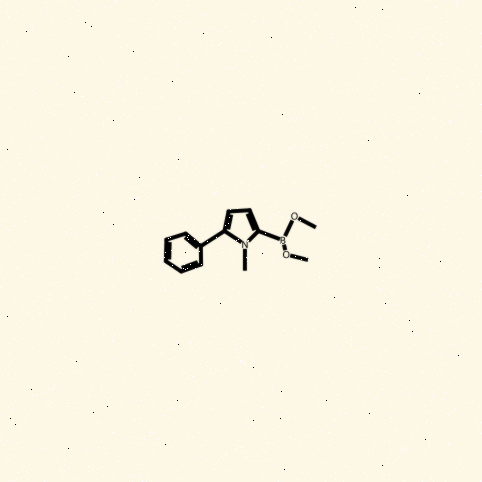 COB(OC)c1ccc(-c2ccccc2)n1C